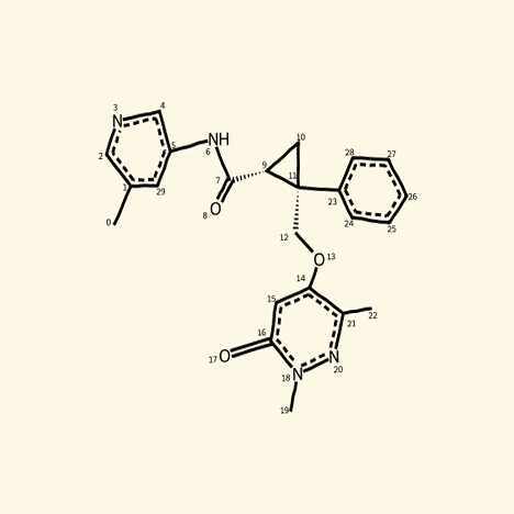 Cc1cncc(NC(=O)[C@@H]2C[C@@]2(COc2cc(=O)n(C)nc2C)c2ccccc2)c1